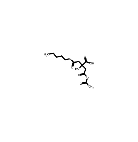 CCCCCOC(=O)CC(O)(CC(=O)OC(C)=O)C(=O)O